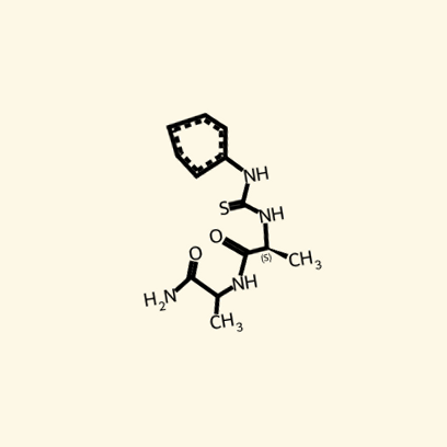 CC(NC(=O)[C@H](C)NC(=S)Nc1ccccc1)C(N)=O